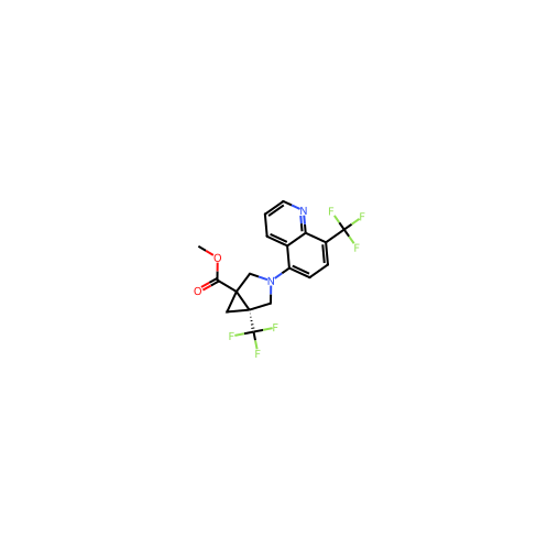 COC(=O)C12CN(c3ccc(C(F)(F)F)c4ncccc34)C[C@@]1(C(F)(F)F)C2